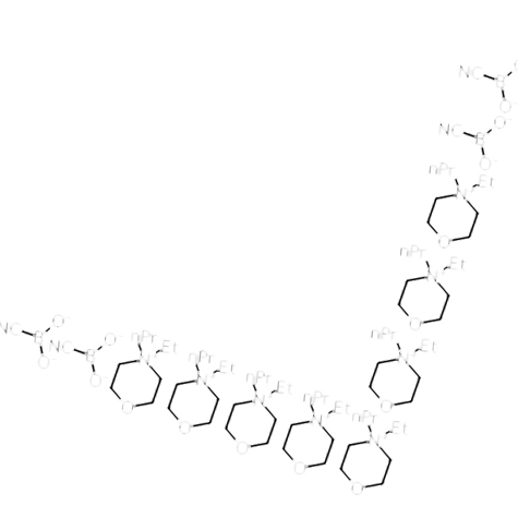 CCC[N+]1(CC)CCOCC1.CCC[N+]1(CC)CCOCC1.CCC[N+]1(CC)CCOCC1.CCC[N+]1(CC)CCOCC1.CCC[N+]1(CC)CCOCC1.CCC[N+]1(CC)CCOCC1.CCC[N+]1(CC)CCOCC1.CCC[N+]1(CC)CCOCC1.N#CB([O-])[O-].N#CB([O-])[O-].N#CB([O-])[O-].N#CB([O-])[O-]